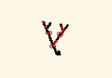 CCCCCC(CCCCC)CCOC(=O)CCCCCCCC(CCCCCCCC(=O)OCCC(CCCCC)CCCCC)C(=O)OCCCN1CCN(C)CC1